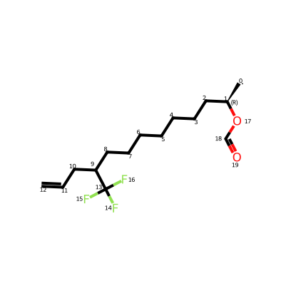 [CH2][C@H](CCCCCCCC(CC=C)C(F)(F)F)OC=O